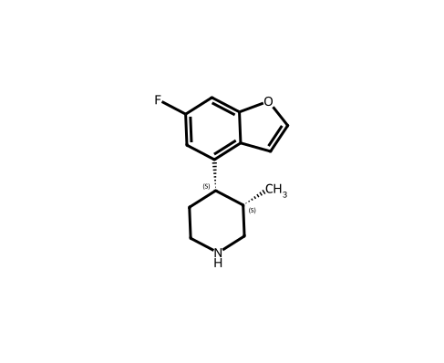 C[C@@H]1CNCC[C@@H]1c1cc(F)cc2occc12